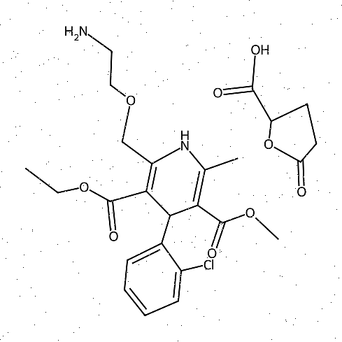 CCOC(=O)C1=C(COCCN)NC(C)=C(C(=O)OC)C1c1ccccc1Cl.O=C1CCC(C(=O)O)O1